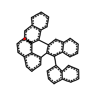 [c]1c(-c2cccc3ccccc23)c(-c2cccc3ccccc23)c(-c2cccc3ccccc23)c2ccccc12